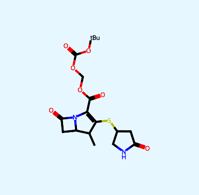 CC1C(SC2CNC(=O)C2)=C(C(=O)OCOC(=O)OC(C)(C)C)N2C(=O)CC12